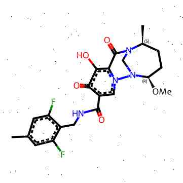 CO[C@@H]1CC[C@H](C)N2CN1n1cc(C(=O)NCc3c(F)cc(C)cc3F)c(=O)c(O)c1C2=O